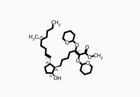 CCCC[C@@H](C)CC/C=C/[C@H]1CC[C@H](O)[C@@H]1CCCC/C(OC1CCCCO1)=C(\OC1CCCCO1)C(=O)OC